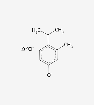 Cc1cc([O-])ccc1C(C)C.[Cl-].[Zr+2]